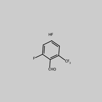 F.O=Cc1c(F)cccc1C(F)(F)F